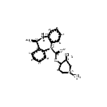 CC1CN(C)CCC1OC(=O)N1c2ccccc2NC(=O)c2ccccc21